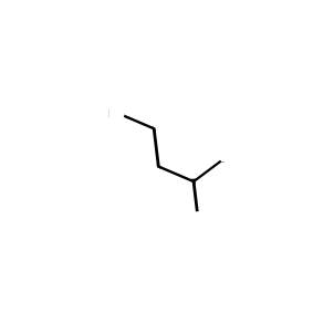 CCCC[C](I)I